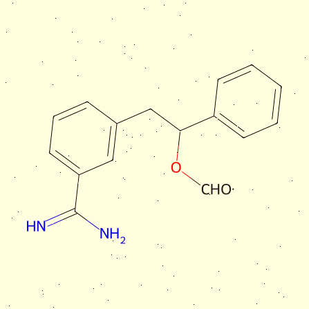 N=C(N)c1cccc(CC(O[C]=O)c2ccccc2)c1